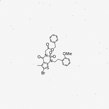 COc1ccccc1CCN1c2sc(Br)c(C)c2C(=O)N(CC(=O)OCc2ccccc2)S1(=O)=O